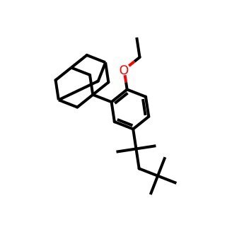 CCOc1ccc(C(C)(C)CC(C)(C)C)cc1C12CC3CC(CC(C3)C1)C2